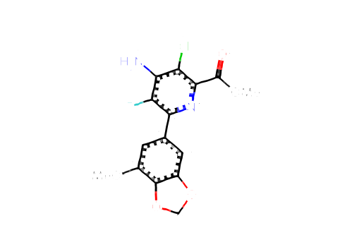 COC(=O)c1nc(-c2cc(OC)c3c(c2)OCO3)c(F)c(N)c1Cl